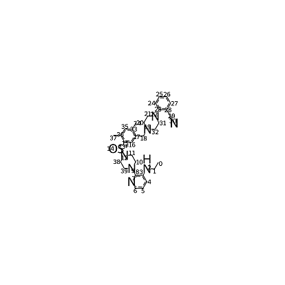 CCNc1cccnc1N1CCN([S+]([O-])c2cc(CN3CCN(c4ccccc4C#N)CC3)c(C)cc2C)CC1